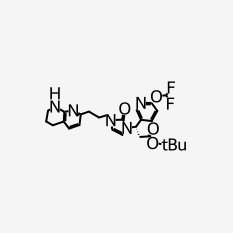 CC(C)(C)OC(=O)C[C@@H](c1ccc(OC(F)F)nc1)n1ccn(CCCc2ccc3c(n2)NCCC3)c1=O